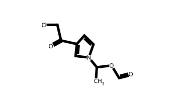 CC(OC=O)n1ccc(C(=O)CCl)c1